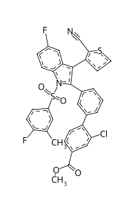 COC(=O)c1ccc(-c2cccc(-c3c(-c4ccsc4C#N)c4cc(F)ccc4n3S(=O)(=O)c3ccc(F)c(C)c3)c2)c(Cl)c1